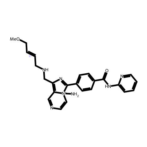 COC/C=C/CNCC1=C2C=NC=C[N+]2(N)C(c2ccc(C(=O)Nc3ccccn3)cc2)=N1